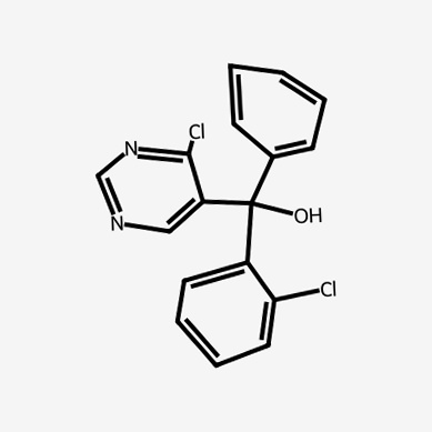 OC(c1ccccc1)(c1ccccc1Cl)c1cncnc1Cl